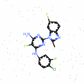 Cc1nc2ccc(F)cc2n1-c1nc(N)c(F)c(Nc2ccc(Cl)c(F)c2)n1